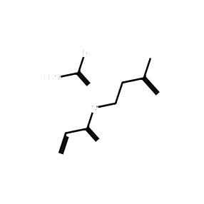 C=CC(=O)NCCC(=C)C.NC(N)=O